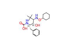 CC(C)(C)C(NOC1CCCCC1)[C@H](O)[C@H](Cc1ccccc1)NC(=O)O